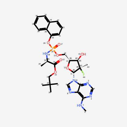 CNc1ncnc2c1ncn2[C@@H]1O[C@H](COP(=O)(N[C@H](C)C(=O)OCC(C)(C)C)Oc2cccc3ccccc23)[C@@H](O)[C@@]1(C)F